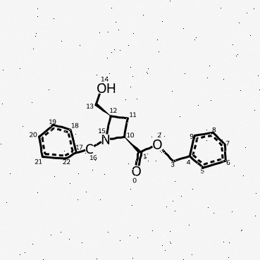 O=C(OCc1ccccc1)[C@@H]1C[C@H](CO)N1Cc1ccccc1